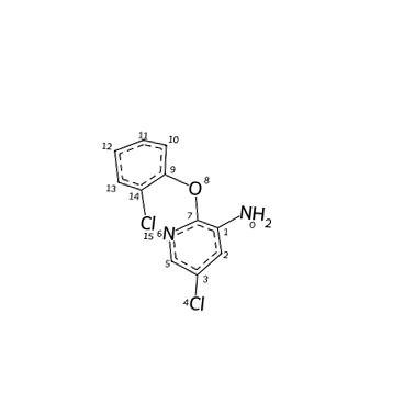 Nc1cc(Cl)cnc1Oc1ccccc1Cl